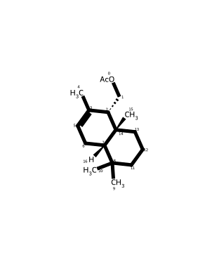 CC(=O)OC[C@H]1C(C)=CC[C@H]2C(C)(C)CCC[C@@]12C